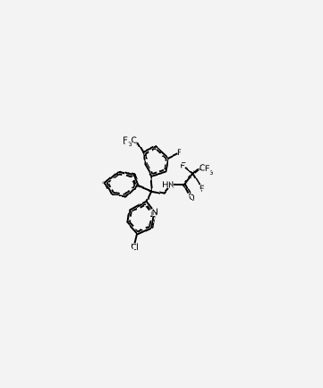 O=C(NCC(c1ccccc1)(c1cc(F)cc(C(F)(F)F)c1)c1ccc(Cl)cn1)C(F)(F)C(F)(F)F